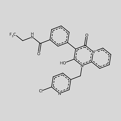 O=C(NCC(F)(F)F)c1cccc(-c2c(O)n(Cc3ccc(Cl)nc3)c3cccc[n+]3c2=O)c1